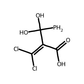 O=C(O)C(=C(Cl)Cl)C(O)(O)P